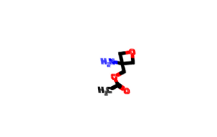 CC(=O)OCC1(N)COC1